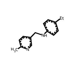 CCc1ccc(NCc2ccc(C)nc2)cc1